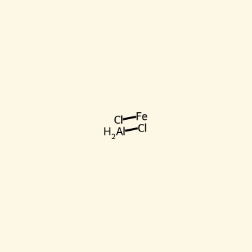 [AlH2][Cl].[Cl][Fe]